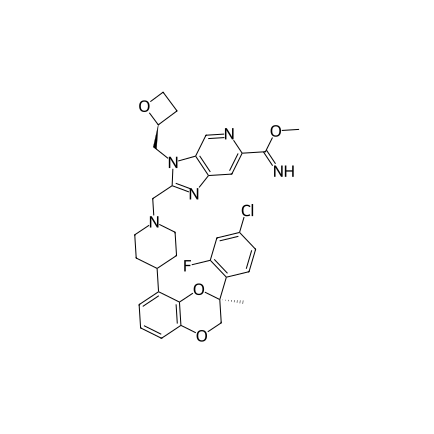 COC(=N)c1cc2nc(CN3CCC(c4cccc5c4O[C@@](C)(c4ccc(Cl)cc4F)CO5)CC3)n(C[C@@H]3CCO3)c2cn1